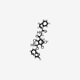 CNC(Oc1cccn2cc(C)nc12)c1c(Cl)ccc(C(=O)CNC(=O)n2ccc3ccccc32)c1Cl.Cl